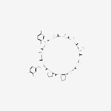 CC[C@H](C)[C@@H]1NC(=O)[C@H](CC(C)C)N(C)C(=O)C[C@@H](C)NC(=O)[C@H](C(C)C)N(C)C(=O)C2(CCCC2)NC(=O)[C@@H]2CCCN2C(=O)[C@H](CCc2ccc(C(F)(F)F)c(Cl)c2)NC(=O)CN(C)C(=O)[C@H](Cc2ccc(C)cc2)N(C)C(=O)CN(C)C(=O)CN(C)C1=O